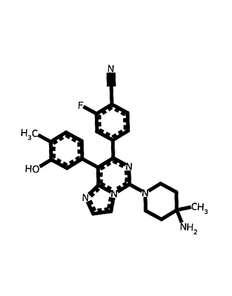 Cc1ccc(-c2c(-c3ccc(C#N)c(F)c3)nc(N3CCC(C)(N)CC3)n3ccnc23)cc1O